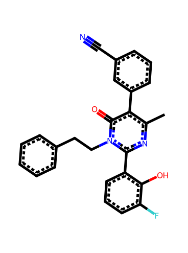 Cc1nc(-c2cccc(F)c2O)n(CCc2ccccc2)c(=O)c1-c1cccc(C#N)c1